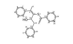 C=C(S/C(=C(\C)c1ccccc1)C(O)Cc1ccccc1)c1cccnc1